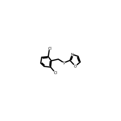 Clc1cccc(Cl)c1CSc1ncco1